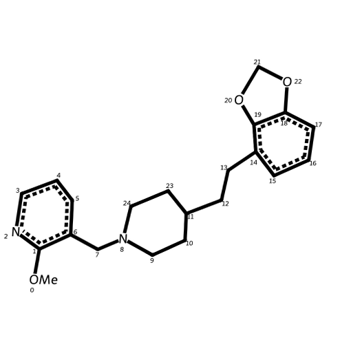 COc1ncccc1CN1CCC(CCc2cccc3c2OCO3)CC1